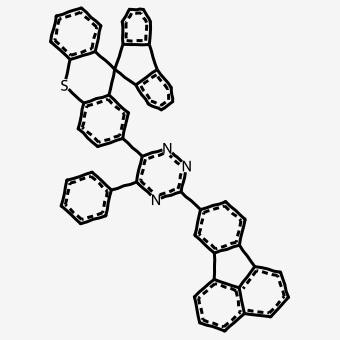 c1ccc(-c2nc(-c3ccc4c(c3)-c3cccc5cccc-4c35)nnc2-c2ccc3c(c2)C2(c4ccccc4S3)c3ccccc3-c3ccccc32)cc1